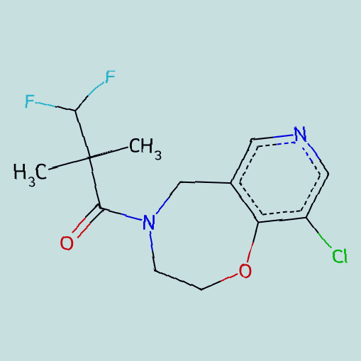 CC(C)(C(=O)N1CCOc2c(Cl)cncc2C1)C(F)F